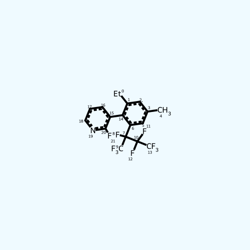 CCc1[c]c(C)cc(C(F)(C(F)(F)F)C(F)(F)C(F)(F)F)c1-c1cccnc1F